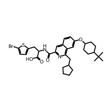 CC(C)(C)C1CCC(Oc2ccc3cc(C(=O)NC(Cc4ccc(Br)s4)C(=O)O)nc(CC4CCCC4)c3c2)CC1